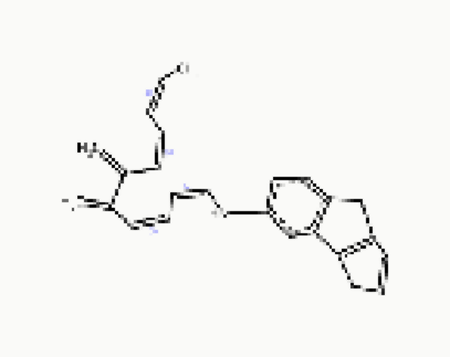 C=C(/C=C\C=C/C)C(=C)/C=C\C=C/Nc1ccc2c(c1)C1=C(C=CC1)C2